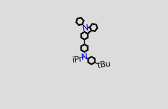 CC(C)N(c1ccc(-c2ccc3c(c2)c2ccccc2n3-c2ccccc2)cc1)c1ccc(C(C)(C)C)cc1